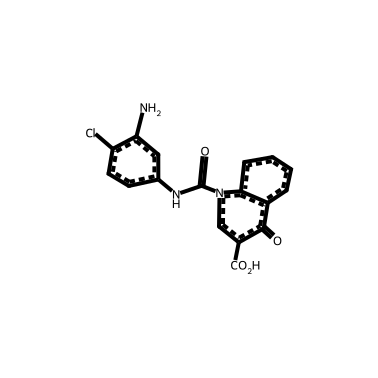 Nc1cc(NC(=O)n2cc(C(=O)O)c(=O)c3ccccc32)ccc1Cl